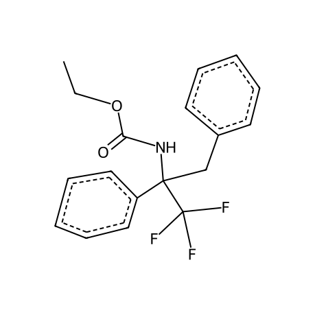 CCOC(=O)NC(Cc1ccccc1)(c1ccccc1)C(F)(F)F